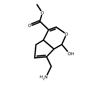 COC(=O)C1=COC(O)C2C(CN)=CCC12